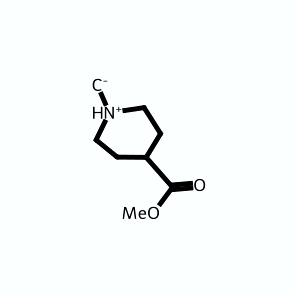 [CH2-][NH+]1CCC(C(=O)OC)CC1